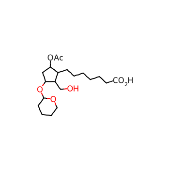 CC(=O)OC1CC(OC2CCCCO2)C(CO)C1CCCCCCC(=O)O